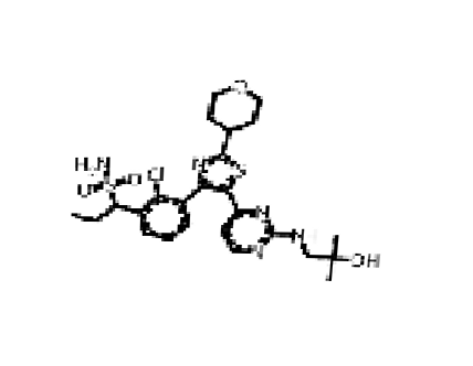 CCC(c1cccc(-c2nc(C3CCOCC3)sc2-c2ccnc(NCC(C)(C)O)n2)c1Cl)S(N)(=O)=O